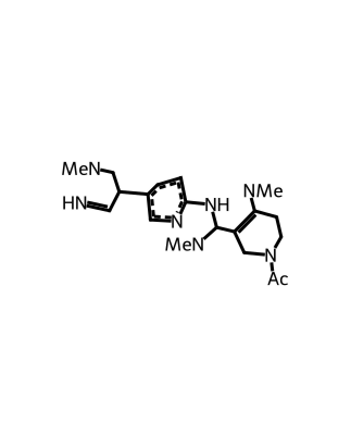 CNCC(C=N)c1ccc(NC(NC)C2=C(NC)CCN(C(C)=O)C2)nc1